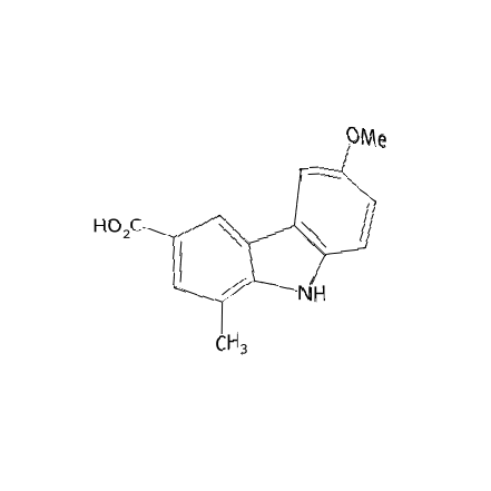 COc1ccc2[nH]c3c(C)cc(C(=O)O)cc3c2c1